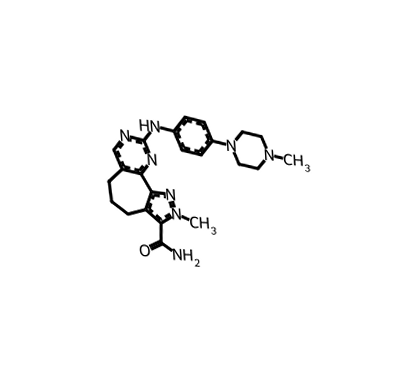 CN1CCN(c2ccc(Nc3ncc4c(n3)-c3nn(C)c(C(N)=O)c3CCC4)cc2)CC1